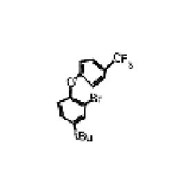 CC(C)(C)c1ccc(Oc2ccc(C(F)(F)F)cc2)c(Br)c1